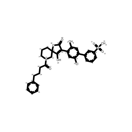 Cc1cc(-c2cccc(S(C)(=O)=O)c2)c(Cl)cc1C1=C(O)C2(CCCN(C(=O)CCCc3ccccc3)C2)OC1=O